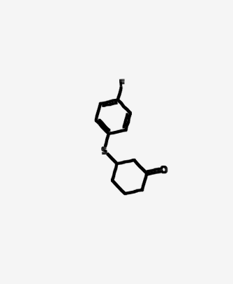 O=C1CCCC(Sc2ccc(F)cc2)C1